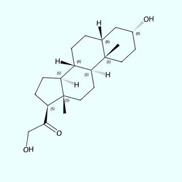 C[C@]12CC[C@@H](O)C[C@H]1CC[C@@H]1[C@@H]2CC[C@]2(C)[C@@H](C(=O)CO)CC[C@@H]12